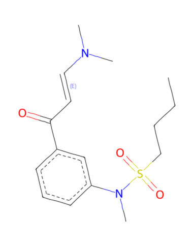 CCCCS(=O)(=O)N(C)c1cccc(C(=O)/C=C/N(C)C)c1